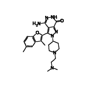 Cc1ccc2oc(-c3c4c(N)n[nH]c(=O)c4nn3C3CCN(CCN(C)C)CC3)c(C)c2c1